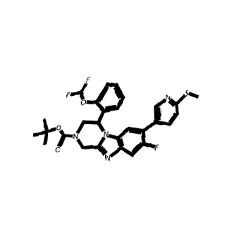 CSc1ccc(-c2cc3c(cc2F)nc2n3C(c3ccccc3OC(F)F)CN(C(=O)OC(C)(C)C)C2)cn1